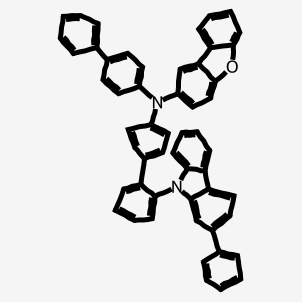 c1ccc(-c2ccc(N(c3ccc(-c4ccccc4-n4c5ccccc5c5ccc(-c6ccccc6)cc54)cc3)c3ccc4oc5ccccc5c4c3)cc2)cc1